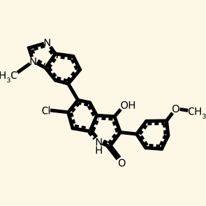 COc1cccc(-c2c(O)c3cc(-c4ccc5ncn(C)c5c4)c(Cl)cc3[nH]c2=O)c1